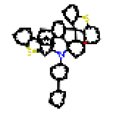 c1ccc(-c2ccc(N(c3ccc4c(c3)sc3ccccc34)c3cccc4c3-c3c(ccc5ccccc35)C43c4ccccc4Sc4ccccc43)cc2)cc1